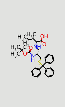 CC[C@H](C)[C@H](NC[C@H](CSC(c1ccccc1)(c1ccccc1)c1ccccc1)NC(=O)OC(C)(C)C)C(=O)O